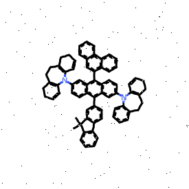 CC1(C)c2ccccc2-c2ccc(-c3c4cc(N5C6=C(CCC=C6)CCc6ccccc65)ccc4c(-c4cc5ccccc5c5ccccc45)c4cc(N5C6=C(CCC=C6)CCC6=C5C=CCC6)ccc34)cc21